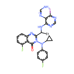 CCC(Nc1ncnc(I)c1/N=C\N)c1nc2cccc(F)c2c(=O)n1N(c1ccc(F)cc1)C1CC1